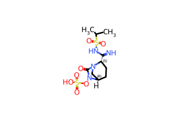 CC(C)S(=O)(=O)NC(=N)[C@@H]1CC[C@@H]2CN1C(=O)N2OS(=O)(=O)O